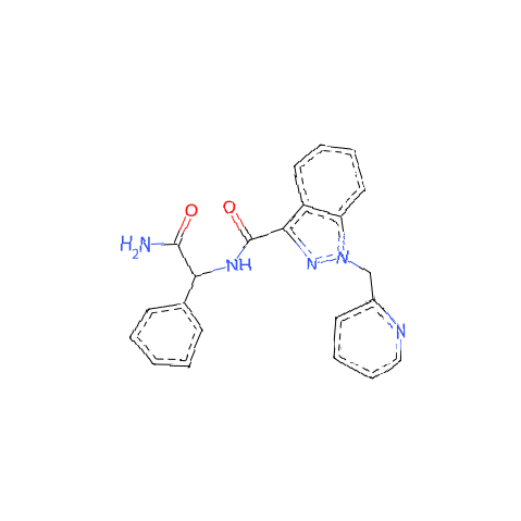 NC(=O)C(NC(=O)c1nn(Cc2ccccn2)c2ccccc12)c1ccccc1